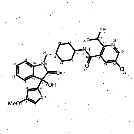 COc1csc(C2(O)C(=O)N(C[C@H]3CC[C@H](NC(=O)c4cc(Cl)cnc4C(F)F)CC3)c3ccccc32)c1